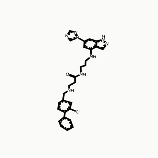 O=C(CCNCc1ccc(-c2ccccc2)c(Cl)c1)NCCCNc1cc(-n2cncn2)cc2[nH]ncc12